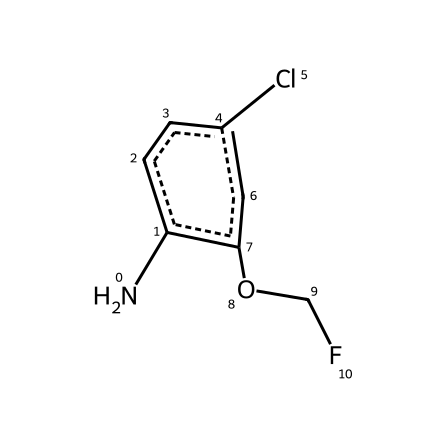 Nc1ccc(Cl)cc1OCF